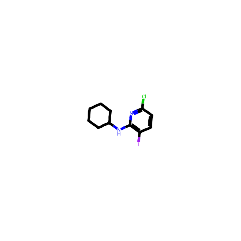 Clc1ccc(I)c(NC2CCCCC2)n1